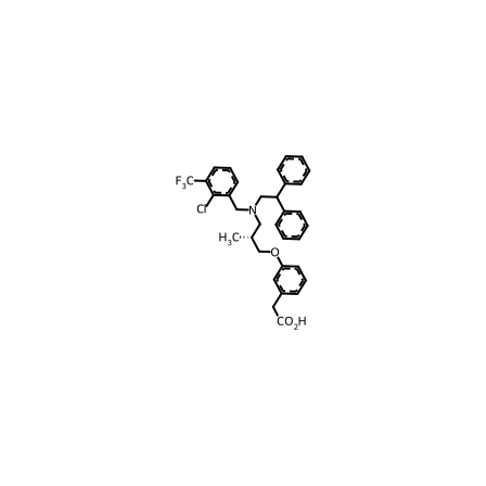 C[C@@H](COc1cccc(CC(=O)O)c1)CN(Cc1cccc(C(F)(F)F)c1Cl)CC(c1ccccc1)c1ccccc1